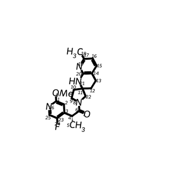 COc1cc([C@@H](C)C(=O)N2CCC3(CCc4ccc(C)nc4N3)C2)c(F)cn1